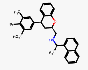 Cc1cc([C@@H]2C[C@H](CN[C@H](C)c3cccc4ccccc34)Oc3ccccc32)cc(C(=O)O)c1C(C)C